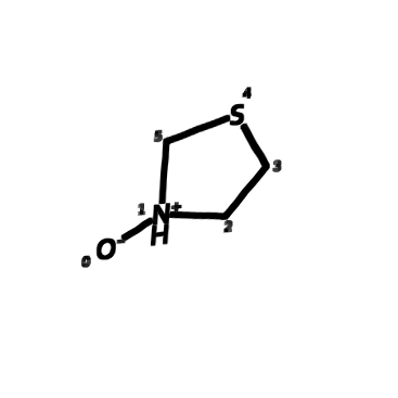 [O-][NH+]1CCSC1